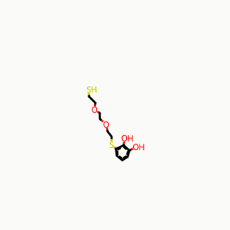 Oc1cccc(SCCOCCOCCS)c1O